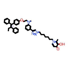 CC/C(=C(\c1ccccc1)c1ccc(OCCN(C)c2cccc(-c3cn(CCCCCCCn4ccc(=O)c(O)c4C)nn3)c2)cc1)c1ccccc1